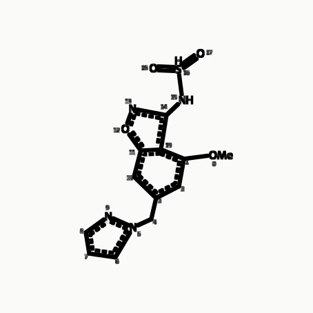 COc1cc(Cn2cccn2)cc2onc(N[SH](=O)=O)c12